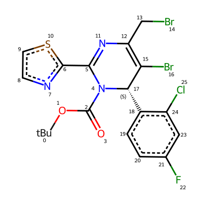 CC(C)(C)OC(=O)N1C(c2nccs2)=NC(CBr)=C(Br)[C@@H]1c1ccc(F)cc1Cl